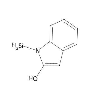 Oc1cc2ccccc2n1[SiH3]